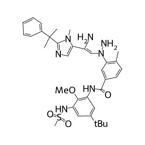 COc1c(NC(=O)c2ccc(C)c(N(N)/C=C(\N)c3cnc(C(C)(C)c4ccccc4)n3C)c2)cc(C(C)(C)C)cc1NS(C)(=O)=O